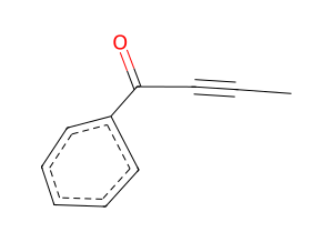 CC#CC(=O)c1ccccc1